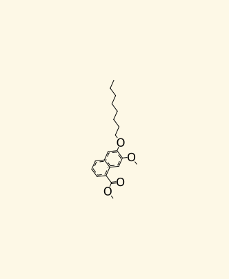 CCCCCCCCOc1cc2cccc(C(=O)OC)c2cc1OC